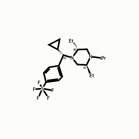 CC[C@H]1CN([C@H](c2ccc(S(F)(F)(F)(F)F)cc2)C2CC2)[C@H](CC)CN1C(C)C